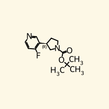 CC(C)(C)OC(=O)N1CC[C@H](c2cnccc2F)C1